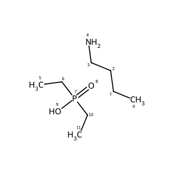 CCCCN.CCP(=O)(O)CC